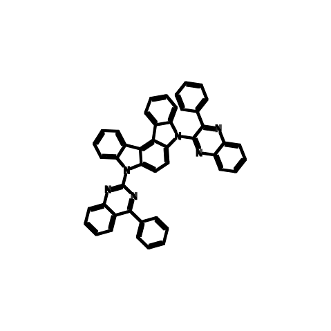 c1ccc(-c2nc3ccccc3nc2-n2c3ccccc3c3c4c5ccccc5n(-c5nc(-c6ccccc6)c6ccccc6n5)c4ccc32)cc1